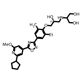 CCc1cc(-c2noc(-c3cc(OC)nc(C4CCCC4)c3)n2)cc(C)c1OC[C@@H](O)CNC(CO)CO